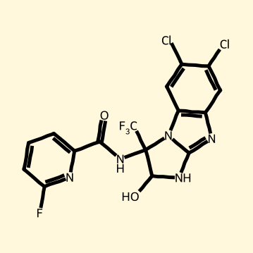 O=C(NC1(C(F)(F)F)C(O)Nc2nc3cc(Cl)c(Cl)cc3n21)c1cccc(F)n1